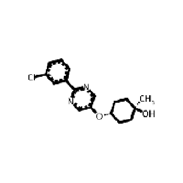 C[C@]1(O)CC[C@H](Oc2cnc(-c3cccc(Cl)c3)nc2)CC1